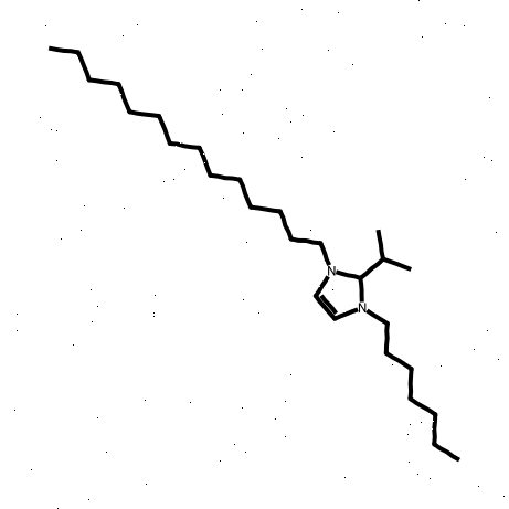 CCCCCCCCCCCCCCN1C=CN(CCCCCCC)C1C(C)C